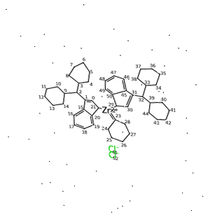 C1=C(C(C2CCCCC2)C2CCCCC2)c2ccccc2[CH]1[Zr+2](=[C]1CCCCC1)[CH]1C=C(C(C2CCCCC2)C2CCCCC2)c2ccccc21.[Cl-].[Cl-]